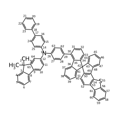 CC1(C)c2ccccc2-c2ccc(N(c3ccc(-c4ccccc4)cc3)c3ccc(-c4cccc5c4-c4ccccc4C54c5ccccc5-c5c4ccc4c5sc5ccccc54)cc3)cc21